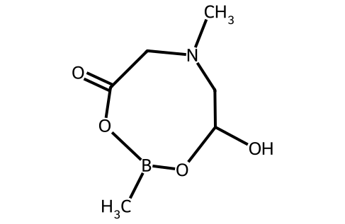 CB1OC(=O)CN(C)CC(O)O1